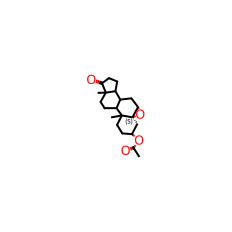 CC(=O)OC1CCC2(C)C3CCC4(C)C(=O)CCC4C3CC3O[C@]32C1